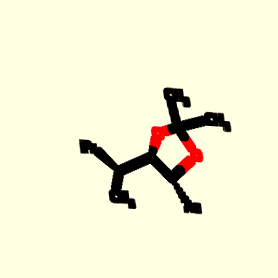 CC(=O)[C@H]1OC(C)(C)O[C@@H]1[C@@H](C)C(C)C